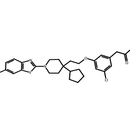 O=C(O)Cc1cc(Cl)cc(OCCC2(C3CCCC3)CCN(c3nc4ccc(Cl)cc4s3)CC2)c1